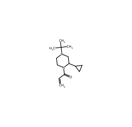 C=CC(=O)N1CCN(C(C)(C)C)CC1C1CC1